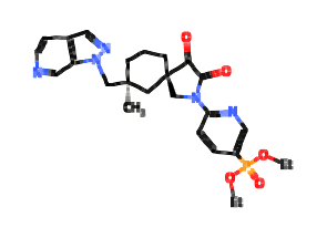 CCOP(=O)(OCC)c1ccc(N2C[C@@]3(CCC[C@](C)(Cn4ncc5ccncc54)C3)C(=O)C2=O)nc1